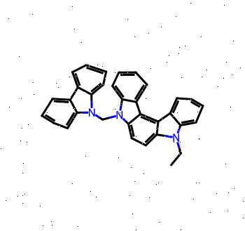 CCn1c2ccccc2c2c3c4ccccc4n(Cn4c5ccccc5c5ccccc54)c3ccc21